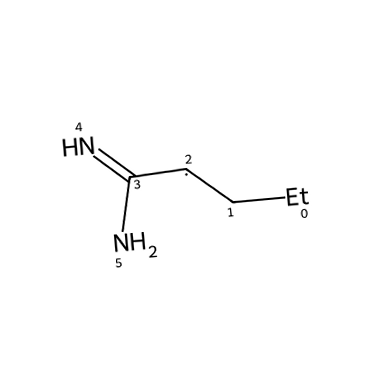 CCC[CH]C(=N)N